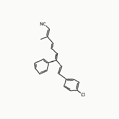 CC(/C=C/C=C(/C=C/c1ccc(Cl)cc1)c1ccccc1)=C\C#N